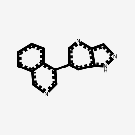 c1ccc2c(-c3cnc4cn[nH]c4c3)cncc2c1